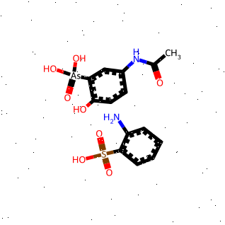 CC(=O)Nc1ccc(O)c([As](=O)(O)O)c1.Nc1ccccc1S(=O)(=O)O